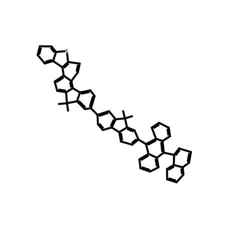 CC1(C)c2cc(-c3ccc4c(c3)C(C)(C)c3ccc5c(ccc6sc7ccccc7c65)c3-4)ccc2-c2ccc(-c3c4ccccc4c(-c4cccc5ccccc45)c4ccccc34)cc21